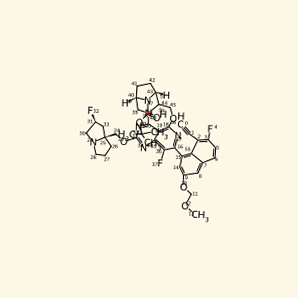 C#Cc1c(F)ccc2cc(OCOC)cc(-c3nc4c5c(nc(OC[C@@]67CCCN6C[C@@H](F)C7)nc5c3F)N3C[C@@H]5CC[C@H]([C@H]3CO4)N5C(=O)OC(C)(C)C)c12